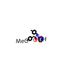 COc1ccc(CC(=O)N(Cc2ccc(C)cc2)C2=CC[C@H]3CC[C@@H]2N3C)cc1